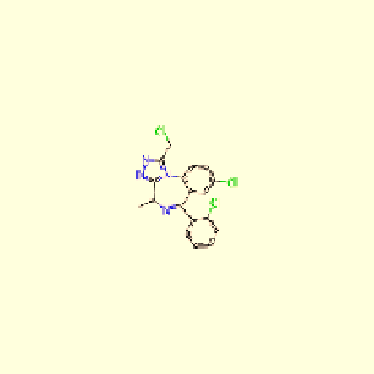 CC1N=C(c2ccccc2Cl)c2cc(Cl)ccc2-n2c(CCl)nnc21